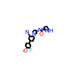 COc1ccc(-c2ccc(N3CC[C@H](NC(=O)[C@@H]4CCCN4)C3)c(C#N)c2)cc1F